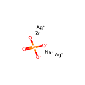 O=P([O-])([O-])[O-].[Ag+].[Ag+].[Na+].[Zr]